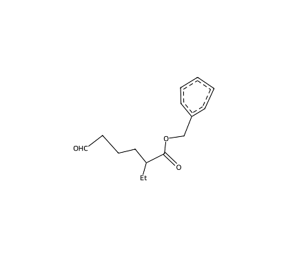 CCC(CCCC=O)C(=O)OCc1ccccc1